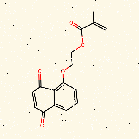 C=C(C)C(=O)OCCOc1cccc2c1C(=O)C=CC2=O